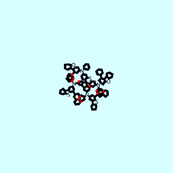 c1ccc(-c2cc(N(c3ccccc3)c3ccc4c(c3)Sc3cc(N(c5ccccc5)c5cc(-c6ccccc6)c6c(c5)oc5ccccc56)ccc3C43c4ccc(N(c5ccccc5)c5cc(-c6ccc7ccccc7c6)c6sc7ccccc7c6c5)cc4-c4cc(N(c5ccccc5)c5cc(-c6ccc7ccccc7c6)c6sc7ccccc7c6c5)ccc43)cc3oc4ccccc4c23)cc1